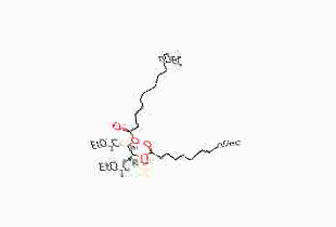 CCCCCCCCCCCCCCCCCC(=O)O[C@@H](C(=O)OCC)[C@@H](OC(=O)CCCCCCCCCCCCCCCCC)C(=O)OCC